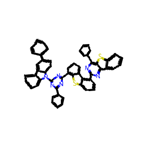 c1ccc(-c2ccc3c(c2)c2ccccc2n3-c2nc(-c3ccccc3)nc(-c3cccc4c3sc3cccc(-c5nc(-c6ccccc6)c6sc7ccccc7c6n5)c34)n2)cc1